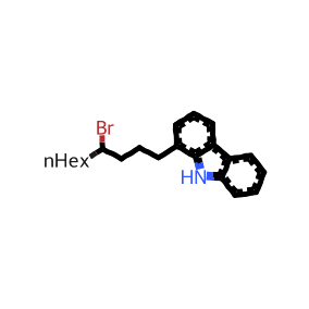 CCCCCCC(Br)CCCc1cccc2c1[nH]c1ccccc12